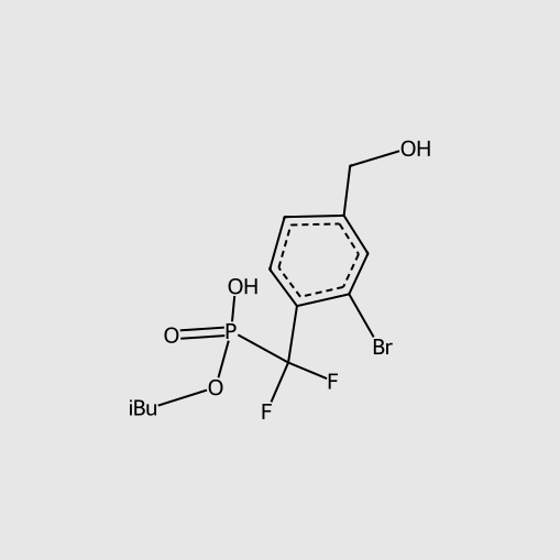 CCC(C)OP(=O)(O)C(F)(F)c1ccc(CO)cc1Br